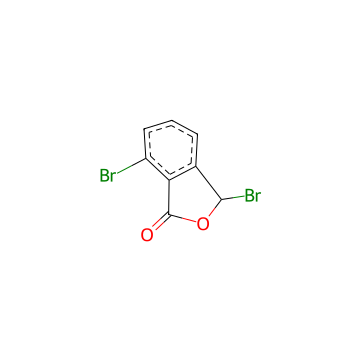 O=C1OC(Br)c2cccc(Br)c21